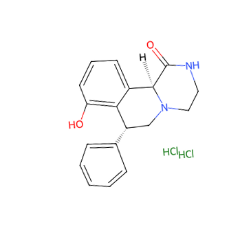 Cl.Cl.O=C1NCCN2C[C@H](c3ccccc3)c3c(O)cccc3[C@@H]12